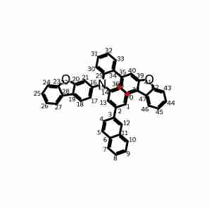 c1cc(-c2ccc3ccccc3c2)cc(N(c2ccc3c(c2)oc2ccccc23)c2ccccc2-c2ccc3c(c2)oc2ccccc23)c1